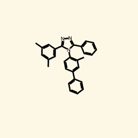 Cc1cc(C)cc(-c2nnc(-c3ccccc3)n2-c2ccc(-c3ccccc3)cc2C)c1